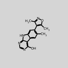 Cc1cc2c(cc1-c1c(C)noc1C)[nH]c1ncnc(O)c12